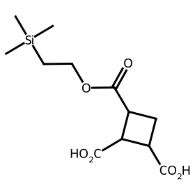 C[Si](C)(C)CCOC(=O)C1CC(C(=O)O)C1C(=O)O